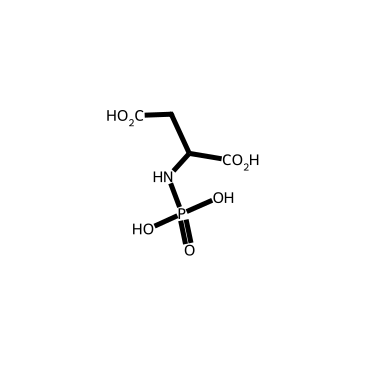 O=C(O)CC(NP(=O)(O)O)C(=O)O